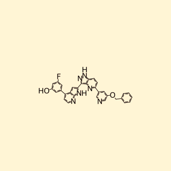 Oc1cc(F)cc(-c2ccnc3[nH]c(-c4n[nH]c5ccc(-c6cncc(OCc7ccccc7)c6)nc45)cc23)c1